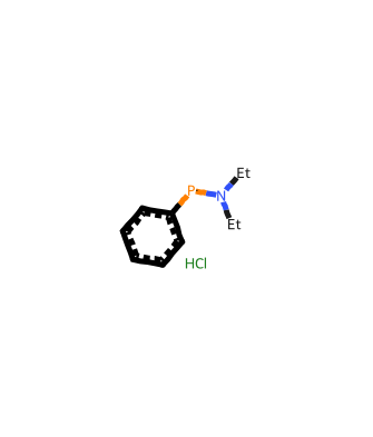 CCN(CC)[P]c1ccccc1.Cl